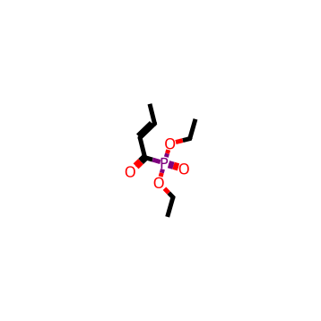 CC=CC(=O)P(=O)(OCC)OCC